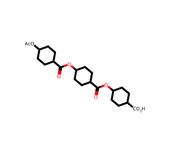 CC(=O)OC1CCC(C(=O)OC2CCC(C(=O)OC3CCC(C(=O)O)CC3)CC2)CC1